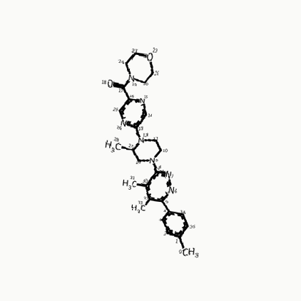 Cc1ccc(-c2nnc(N3CCN(c4cnc(C(=O)N5CCOCC5)cn4)[C@H](C)C3)c(C)c2C)cc1